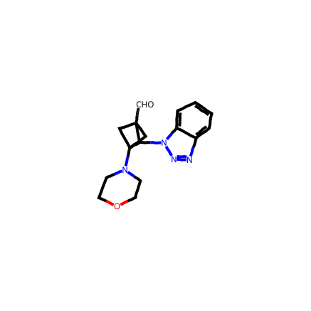 O=CC12CC(N3CCOCC3)(C1)C2n1nnc2ccccc21